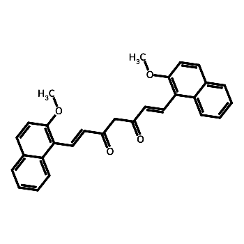 COc1ccc2ccccc2c1C=CC(=O)CC(=O)C=Cc1c(OC)ccc2ccccc12